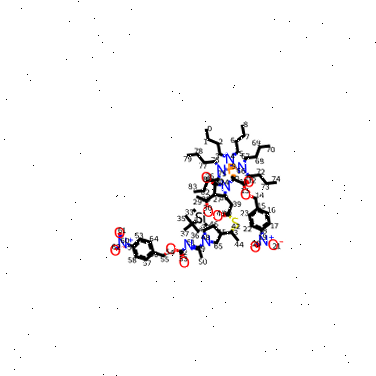 CCCCN(CCCC)P(=C(C(=O)OCc1ccc([N+](=O)[O-])cc1)N1C(=O)C(C(C)O[Si](C)(C)C(C)(C)C)C1CC(=O)SC(C)C1CCN(C(C)=NC(=O)OCc2ccc([N+](=O)[O-])cc2)C1)(N(CCCC)CCCC)N(CCCC)CCCC